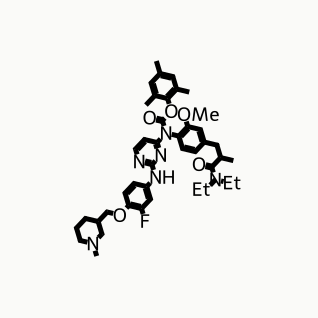 CCN(CC)C(=O)C(C)Cc1ccc(N(C(=O)Oc2c(C)cc(C)cc2C)c2ccnc(Nc3ccc(OCC4CCCN(C)C4)c(F)c3)n2)c(OC)c1